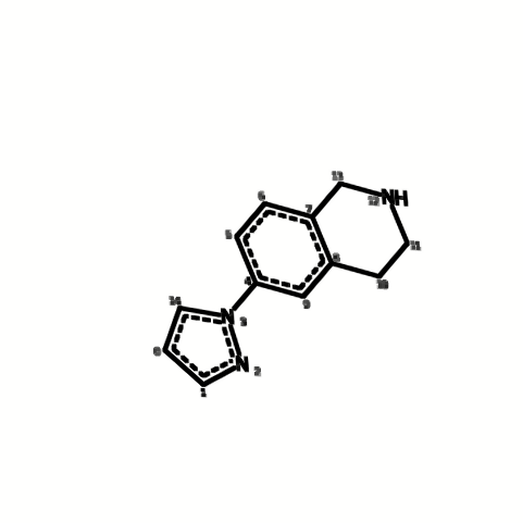 c1cnn(-c2ccc3c(c2)CCNC3)c1